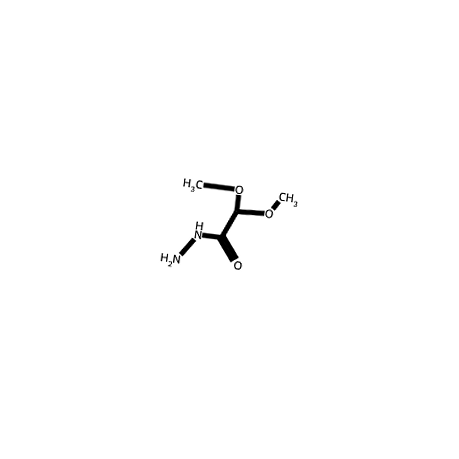 COC(OC)C(=O)NN